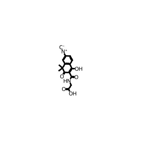 [C-]#[N+]c1ccc2c(c1)C(C)(C)C(=O)C(C(=O)NCC(=O)O)=C2O